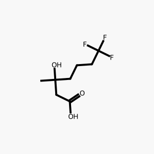 CC(O)(CCCC(F)(F)F)CC(=O)O